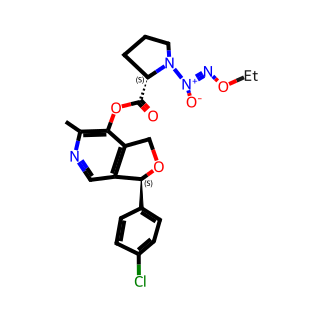 CCON=[N+]([O-])N1CCC[C@H]1C(=O)Oc1c(C)ncc2c1CO[C@H]2c1ccc(Cl)cc1